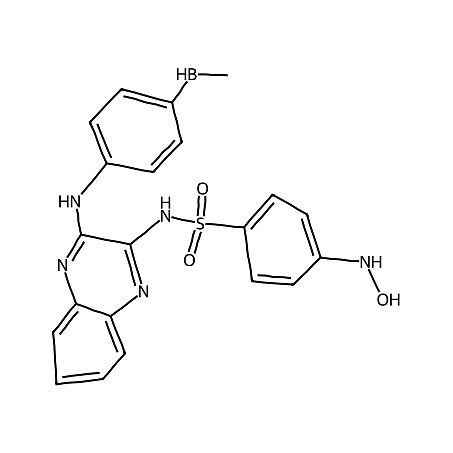 CBc1ccc(Nc2nc3ccccc3nc2NS(=O)(=O)c2ccc(NO)cc2)cc1